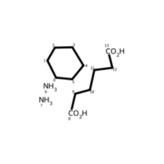 C1CCCCC1.N.N.O=C(O)CCCCC(=O)O